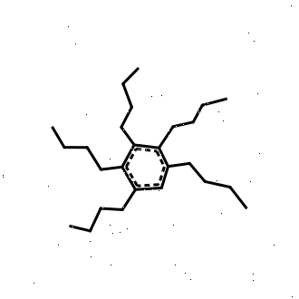 CCCCc1cc(CCCC)c(CCCC)c(CCCC)c1CCCC